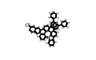 Clc1ccc2ccc(-c3ccc(-c4ccc(-c5ccccc5)cc4)c4c3-c3ccccc3-n3c5ccccc5c5ccc(-c6ccc(-c7ccccc7)cc6)c-4c53)cc2c1